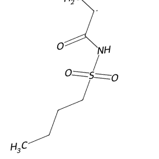 [CH2][CH]C(=O)NS(=O)(=O)CCCC